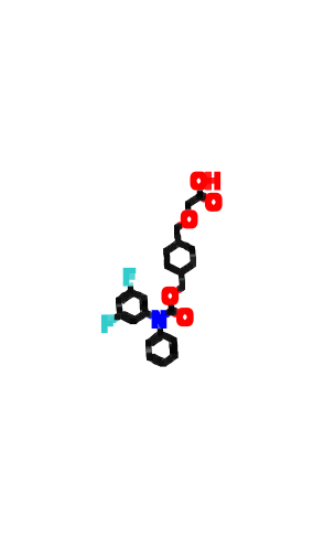 O=C(O)COCC1CCC(COC(=O)N(c2ccccc2)c2cc(F)cc(F)c2)CC1